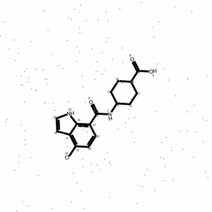 O=C(NC1CCC(C(=O)O)CC1)c1ccc(Cl)c2cc[nH]c12